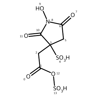 O=C(CC1(S(=O)(=O)O)CC(=O)N(O)C1=O)OS(=O)(=O)O